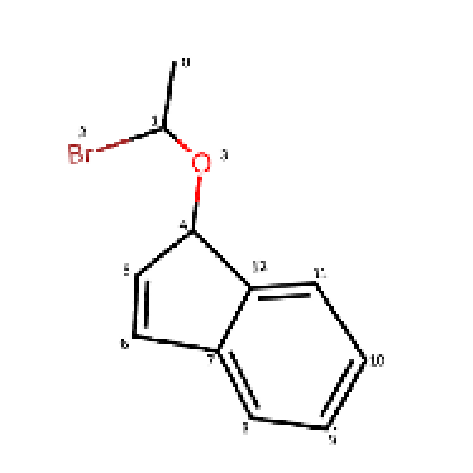 CC(Br)OC1C=Cc2c[c]ccc21